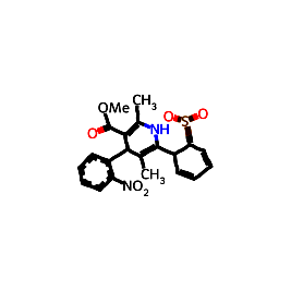 COC(=O)C1=C(C)NC(C2C=CC=CC2=S(=O)=O)=C(C)C1c1ccccc1[N+](=O)[O-]